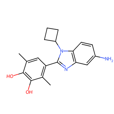 Cc1cc(-c2nc3cc(N)ccc3n2C2CCC2)c(C)c(O)c1O